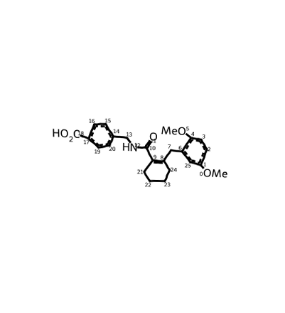 COc1ccc(OC)c(CC2=C(C(=O)NCc3ccc(C(=O)O)cc3)CCCC2)c1